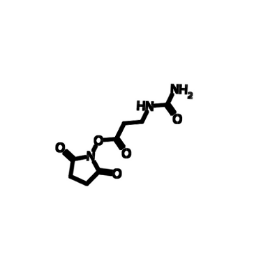 NC(=O)NCCC(=O)ON1C(=O)CCC1=O